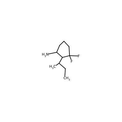 CCC(C)C1C(N)CCCC1(F)F